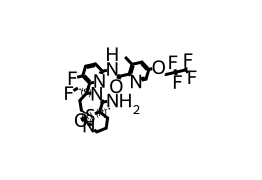 Cc1cc(OCC(F)(F)C(F)F)cnc1C(=O)Nc1ccc(F)c([C@]2(CF)CC[S@]3(=O)=NCCC[C@]3(C)C(N)=N2)n1